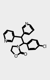 O=C1OCCN1C(c1ccc(Cl)cc1)C(c1cccnc1)c1cccnc1